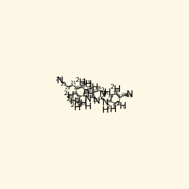 [2H]c1c([2H])c(Nc2nccc(Nc3c(C([2H])([2H])[2H])c([2H])c(C=CC#N)c([2H])c3C([2H])([2H])[2H])n2)c([2H])c([2H])c1C#N